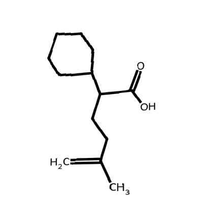 C=C(C)CCC(C(=O)O)C1CCCCC1